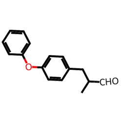 CC(C=O)Cc1ccc(Oc2ccccc2)cc1